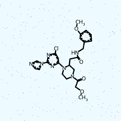 COCC(=O)N1CCN(c2cc(Cl)nc(-n3ccnc3)n2)C(CC(=O)NCc2cccc(OC)c2)C1